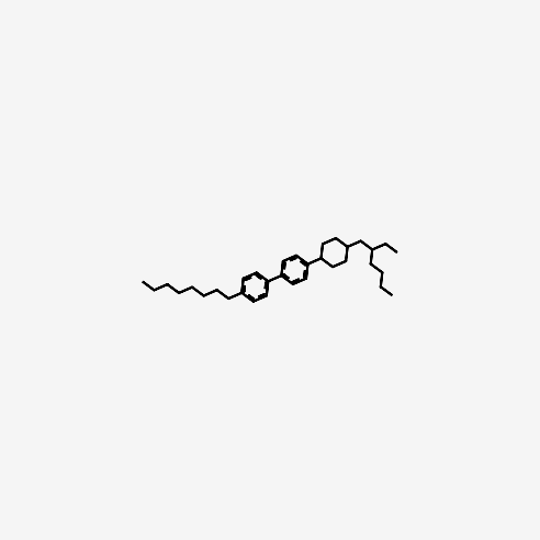 CCCCCCCCc1ccc(-c2ccc(C3CCC(CC(CC)CCCC)CC3)cc2)cc1